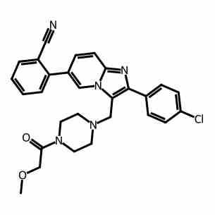 COCC(=O)N1CCN(Cc2c(-c3ccc(Cl)cc3)nc3ccc(-c4ccccc4C#N)cn23)CC1